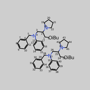 CC(C)COCC(CN(Cc1ccccc1)c1ccccc1)N1CCCC1.CC(C)COCC(CN(Cc1ccccc1)c1ccccc1)N1CCCC1